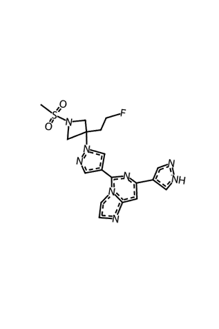 CS(=O)(=O)N1CC(CCF)(n2cc(-c3nc(-c4cn[nH]c4)cc4nccn34)cn2)C1